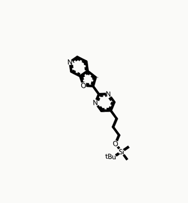 CC(C)(C)[Si](C)(C)OCCCc1cnc(-c2[c]c3ccncc3o2)nc1